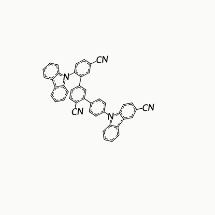 N#Cc1ccc(-n2c3ccccc3c3ccccc32)c(-c2ccc(C#N)c(-c3ccc(-n4c5ccccc5c5cc(C#N)ccc54)cc3)c2)c1